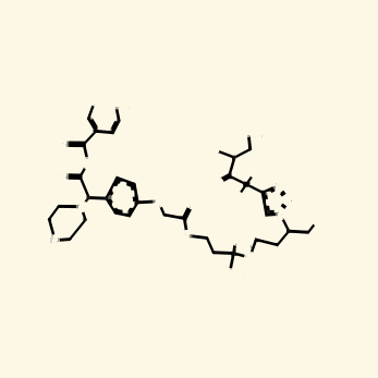 C=C(C(C)CC)C(C)(C)c1cn(C(CC)CCOC(C)(C)CCNC(=O)COc2ccc(C(C(=N)OC(=N)C(/C=C\C)=C/C)N3CCNCC3)cc2)nn1